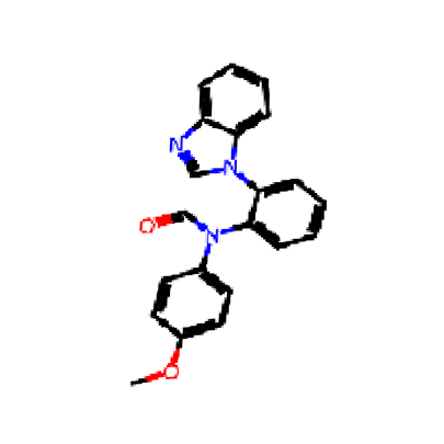 COc1ccc(N(C=O)c2ccccc2-n2cnc3ccccc32)cc1